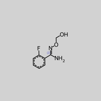 N/C(=N\OCO)c1ccccc1F